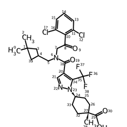 CC1(C)CC(CN(CC(=O)c2c(Cl)cccc2Cl)C(=O)c2cnn([C@H]3CC[C@](C)(C(=O)O)CC3)c2C(F)(F)F)C1